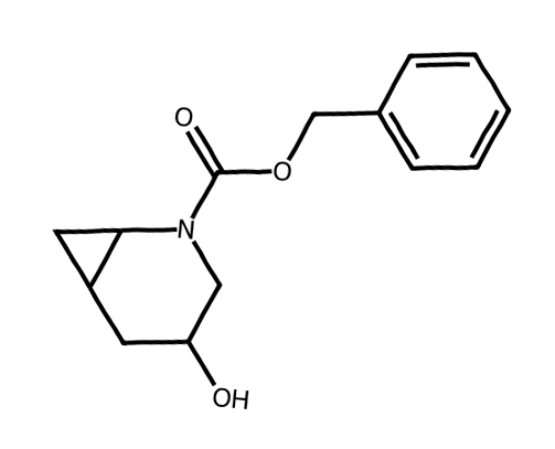 O=C(OCc1ccccc1)N1CC(O)CC2CC21